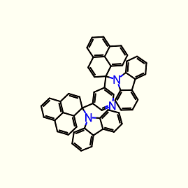 C1=CC(c2cncc(C3(n4c5ccccc5c5ccccc54)C=Cc4cccc5cccc3c45)c2)(n2c3ccccc3c3ccccc32)c2cccc3cccc1c23